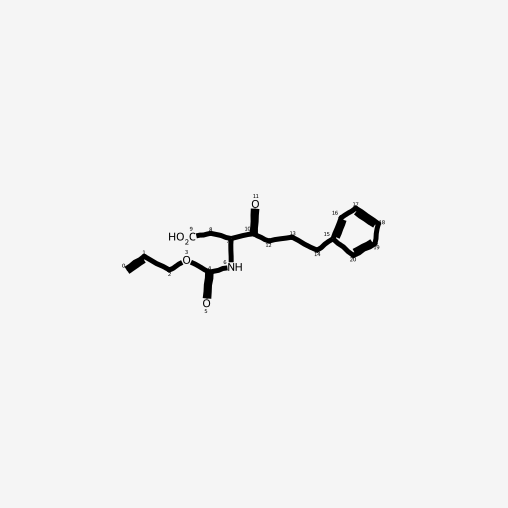 C=CCOC(=O)NC(CC(=O)O)C(=O)CCCc1ccccc1